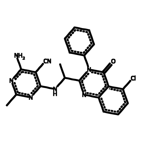 Cc1nc(N)c(C#N)c(NC(C)c2nc3cccc(Cl)c3c(=O)n2-c2ccccc2)n1